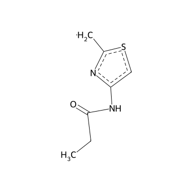 [CH2]c1nc(NC(=O)CC)cs1